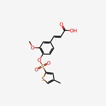 COc1cc(C=CC(=O)O)ccc1OS(=O)(=O)c1cc(C)cs1